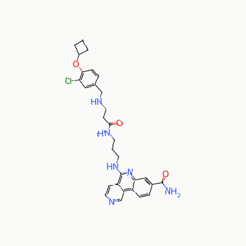 NC(=O)c1ccc2c(c1)nc(NCCCNC(=O)CCNCc1ccc(OC3CCC3)c(Cl)c1)c1ccncc12